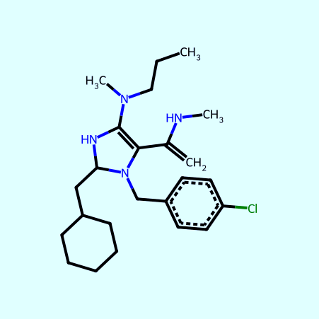 C=C(NC)C1=C(N(C)CCC)NC(CC2CCCCC2)N1Cc1ccc(Cl)cc1